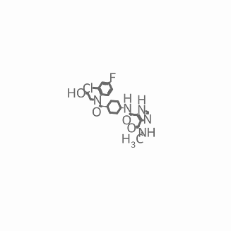 CNC(=O)c1nc[nH]c1C(=O)N[C@H]1CC[C@H](C(=O)N(CCO)c2ccc(F)cc2Cl)CC1